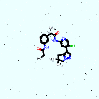 CC(=O)CC(=O)Nc1cccc([C@H](C)C(=O)Nc2cc(-c3cnn4c3CC(C)(C)C4)c(Cl)cn2)c1